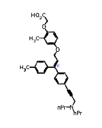 CCCN(CC#Cc1ccc(/C(=C/COc2ccc(OCC(=O)O)c(C)c2)c2ccc(C)cc2)cc1)CCC